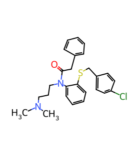 CN(C)CCCN(C(=O)Cc1ccccc1)c1ccccc1SCc1ccc(Cl)cc1